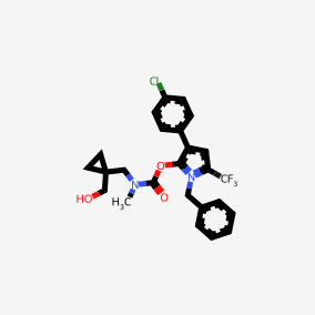 CN(CC1(CO)CC1)C(=O)Oc1c(-c2ccc(Cl)cc2)cc(C(F)(F)F)n1Cc1ccccc1